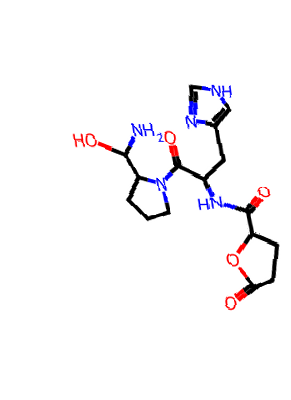 NC(O)C1CCCN1C(=O)C(Cc1c[nH]cn1)NC(=O)C1CCC(=O)O1